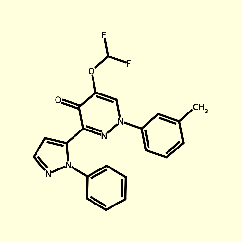 Cc1cccc(-n2cc(OC(F)F)c(=O)c(-c3ccnn3-c3ccccc3)n2)c1